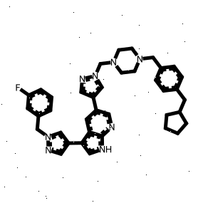 Fc1cccc(Cn2cc(-c3c[nH]c4ncc(-c5cnn(CN6CCN(Cc7ccc(CC8CCCC8)cc7)CC6)c5)cc34)cn2)c1